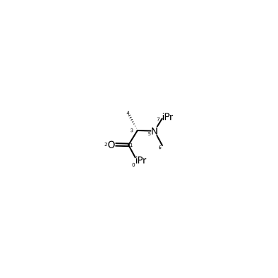 CC(C)C(=O)[C@H](C)N(C)C(C)C